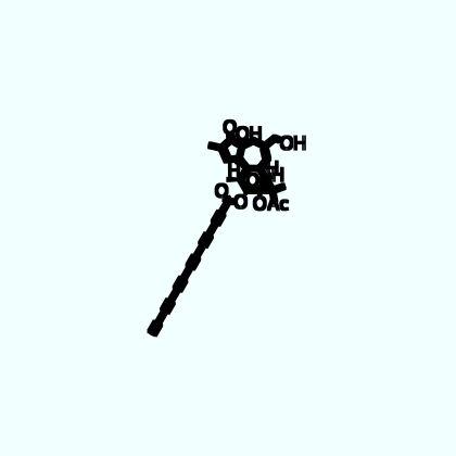 C#CC#CC#CC#CC#CC#CC(=O)O[C@@H]1[C@@H](C)[C@@]2(O)[C@@H](C=C(CO)C[C@]3(O)C(=O)C(C)=C[C@@H]23)[C@H]2C(C)(C)[C@]12OC(C)=O